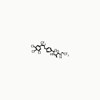 C=C(NC(=O)c1ccc(CC=C(c2cc(Cl)c(Cl)c(Cl)c2)C(F)(F)F)cc1)C(=O)NCC(F)(F)F